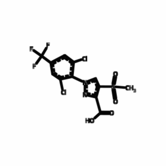 CS(=O)(=O)c1cn(-c2c(Cl)cc(C(F)(F)F)cc2Cl)nc1C(=O)O